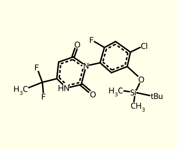 CC(F)(F)c1cc(=O)n(-c2cc(O[Si](C)(C)C(C)(C)C)c(Cl)cc2F)c(=O)[nH]1